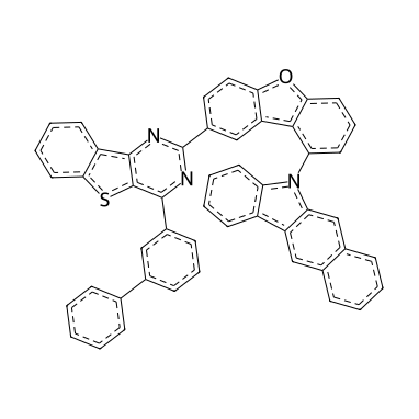 c1ccc(-c2cccc(-c3nc(-c4ccc5oc6cccc(-n7c8ccccc8c8cc9ccccc9cc87)c6c5c4)nc4c3sc3ccccc34)c2)cc1